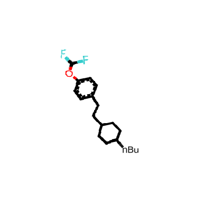 CCCCC1CCC(CCc2ccc(OC(F)F)cc2)CC1